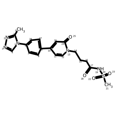 Cc1nncn1-c1ccc(-c2ccn(CCCC(=O)NS(C)(=O)=O)c(=O)c2)cc1